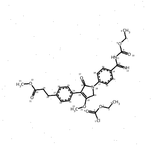 CCOC(=O)Cl.CCOC(=O)NC(=N)c1ccc(N2CC(OC)=C(c3ccc(CCC(=O)OC)cc3)C2=O)cc1